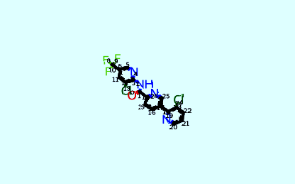 O=C(Nc1ncc(C(F)(F)F)cc1Cl)c1ccc(-c2ncccc2Cl)cn1